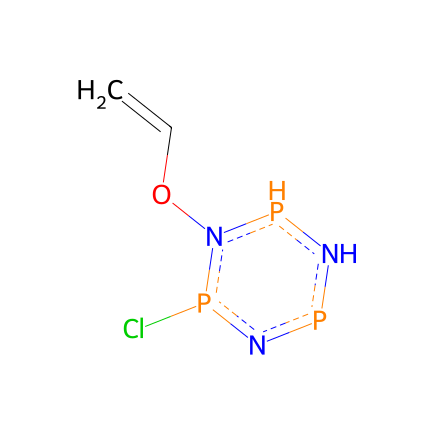 C=COn1[pH][nH]pnp1Cl